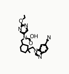 CCOc1ncc(N(CC2CCCC(C)(Cn3cnc4ccc(C#N)cc43)C2)C(=O)O)cn1